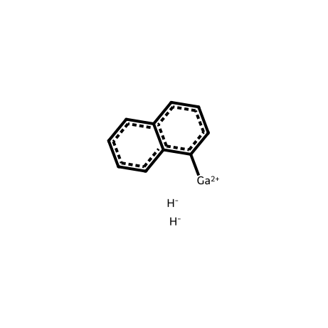 [Ga+2][c]1cccc2ccccc12.[H-].[H-]